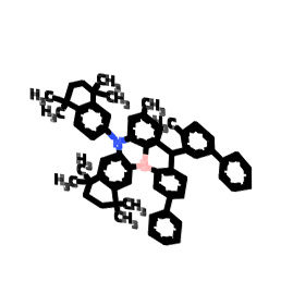 Cc1cc2c3c(c1)N(c1ccc4c(c1)C(C)(C)CCC4(C)C)c1cc4c(cc1B3c1cc(-c3ccccc3)ccc1C2c1cc(-c2ccccc2)ccc1C)C(C)(C)CCC4(C)C